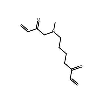 C=CC(=O)CCCCN(C)CC(=O)C=C